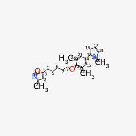 Cc1cc(CCCCCOc2c(C)cc(-c3cccn3C)cc2C)on1